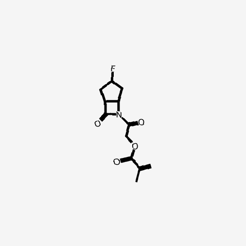 C=C(C)C(=O)OCC(=O)N1C(=O)C2CC(F)CC21